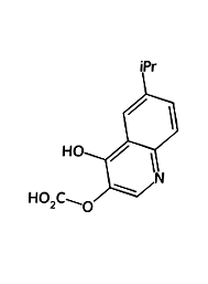 CC(C)c1ccc2ncc(OC(=O)O)c(O)c2c1